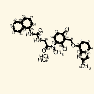 Cc1cn2cccc(OCc3c(Cl)ccc(N(C)C(=O)CNC(=O)Nc4cccc5cnccc45)c3Cl)c2n1.Cl.Cl